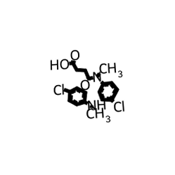 CN(C(=O)CCC(=O)O)c1ccc(Cl)cc1.CNc1ccc(Cl)cc1